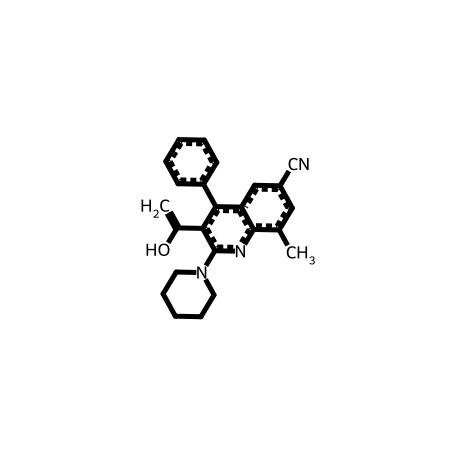 C=C(O)c1c(N2CCCCC2)nc2c(C)cc(C#N)cc2c1-c1ccccc1